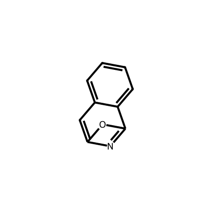 c1ccc2c(c1)cc1nc2o1